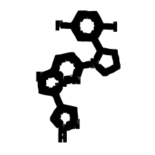 Fc1ccc(I)c(C2CCCN2c2ccc3ncc(-c4cn[nH]c4)n3n2)c1